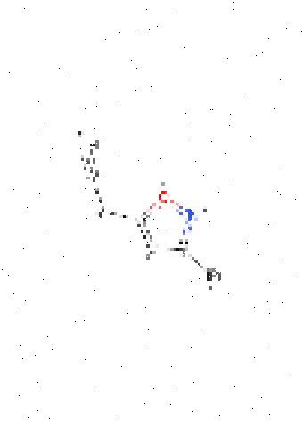 C#CCc1cc(C(C)C)no1